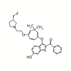 CC1(C)C=C(OCCN2CC[C@@H](CF)C2)C=CC(Oc2c(C(=O)c3ccccc3)sc3cc(O)ccc23)=C1